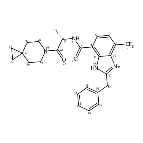 C[C@H](NC(=O)c1ccc(C(F)(F)F)c2nc(Cc3ccccc3)[nH]c12)C(=O)N1CCC2(CC1)CC2